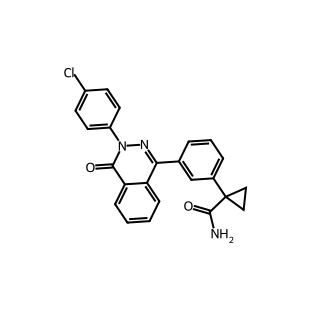 NC(=O)C1(c2cccc(-c3nn(-c4ccc(Cl)cc4)c(=O)c4ccccc34)c2)CC1